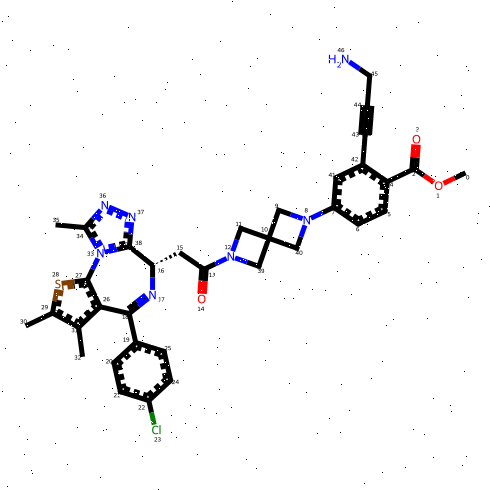 COC(=O)c1ccc(N2CC3(CN(C(=O)C[C@@H]4N=C(c5ccc(Cl)cc5)c5c(sc(C)c5C)-n5c(C)nnc54)C3)C2)cc1C#CCN